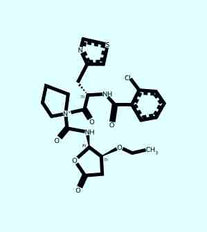 CCO[C@H]1CC(=O)O[C@H]1NC(=O)[N+]1(C(=O)[C@H](Cc2cscn2)NC(=O)c2ccccc2Cl)CCCC1